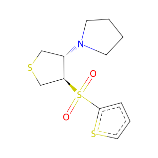 O=S(=O)(c1cccs1)[C@H]1CSC[C@@H]1N1CCCC1